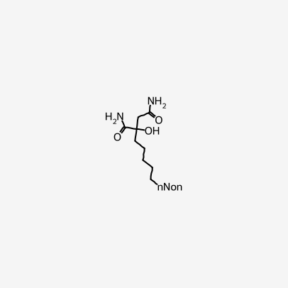 CCCCCCCCCCCCCCC(O)(CC(N)=O)C(N)=O